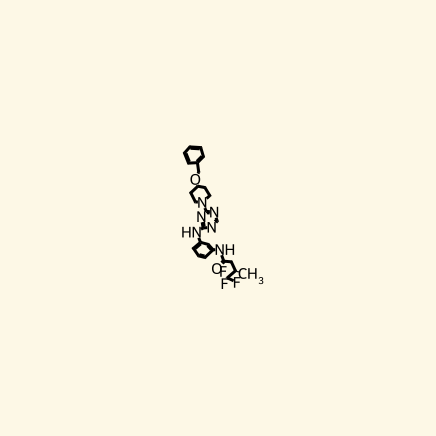 C[C@@H](CC(=O)Nc1cccc(Nc2ncnc(N3CCC(OCc4ccccc4)CC3)n2)c1)C(F)(F)F